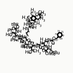 CC[C@H](C)[C@H](NC(=O)[C@@H](CCCNC(=N)NS(=O)(=O)c1c(C)c(C)c2c(c1C)CCC(C)(C)O2)NC(=O)[C@H](CC(C)C)NC(=O)[C@@H](NC(=O)OC(C)(C)C)[C@H](O)C(C)C)C(=O)N[C@H](C(=O)NCC(=O)N[C@@H](CCNC(=O)OCc1ccccc1)C(=O)N[C@@H](COC(C)(C)C)C(=O)OC)[C@H](C)O